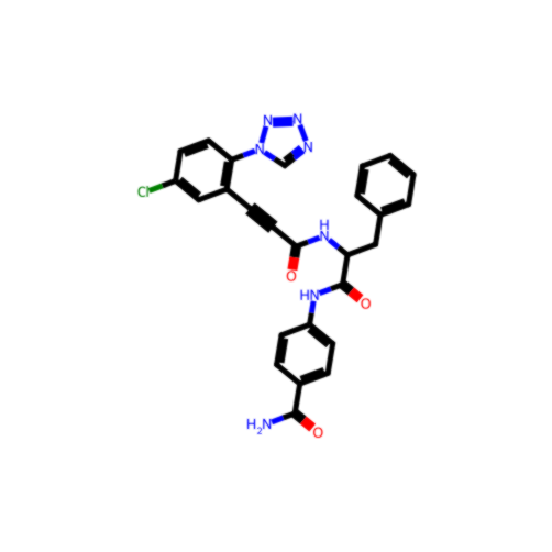 NC(=O)c1ccc(NC(=O)C(Cc2ccccc2)NC(=O)C#Cc2cc(Cl)ccc2-n2cnnn2)cc1